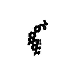 Cc1nc(N[C@H](C)c2cccc(C(F)F)c2F)c2cc(C3=CCN(CC(=O)N(C)C)CC3)cnc2n1